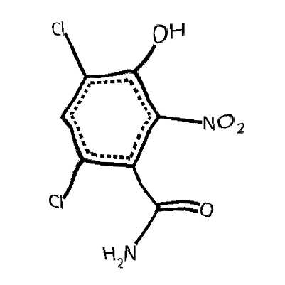 NC(=O)c1c(Cl)cc(Cl)c(O)c1[N+](=O)[O-]